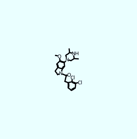 COc1cc2c(cc1N1CC(C)NC(C)C1)N(C(=O)Cc1cccc(Cl)c1Cl)CC2